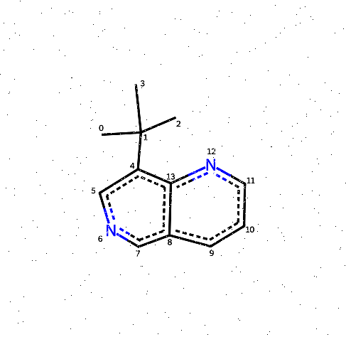 CC(C)(C)c1cncc2cccnc12